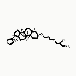 C[C@]12CC[C@H](OCCCNCC(O)CN)C[C@H]1CC[C@@H]1[C@@H]2CC[C@]2(C)[C@@H](c3ccoc3)CC[C@]12O